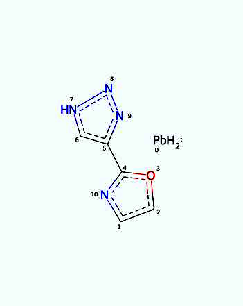 [PbH2].c1coc(-c2c[nH]nn2)n1